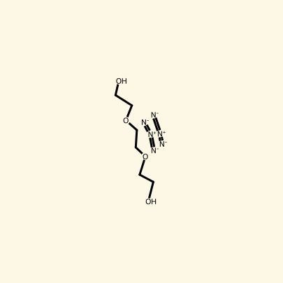 OCCOCCOCCO.[N-]=[N+]=[N-].[N-]=[N+]=[N-]